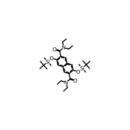 CCN(CC)C(=O)c1cc2cc(O[Si](C)(C)C(C)(C)C)c(C(=O)N(CC)CC)cc2cc1O[Si](C)(C)C(C)(C)C